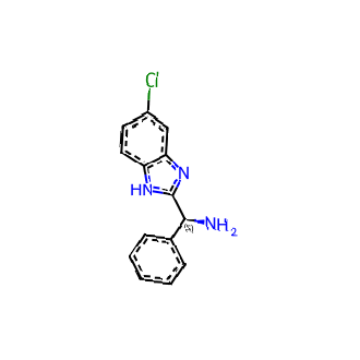 N[C@@H](c1ccccc1)c1nc2cc(Cl)ccc2[nH]1